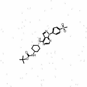 CC(C)(C)OC(=O)N[C@H]1CC[C@H](Nc2ncnc3c2cnn3-c2ccc(S(C)(=O)=O)cc2)CC1